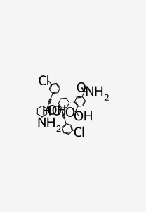 NC(=O)c1ccc(C(=O)O)c([C@H]2CCC[C@@](O)(C#Cc3cccc(Cl)c3)C2)c1.N[C@H]1CCC[C@@](O)(C#Cc2cccc(Cl)c2)C1